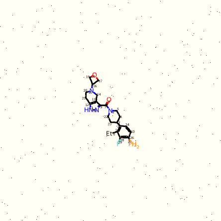 CCc1c(C2CCN(C(=O)c3n[nH]c4c3CN(C3COC3)CC4)CC2)ccc(P)c1F